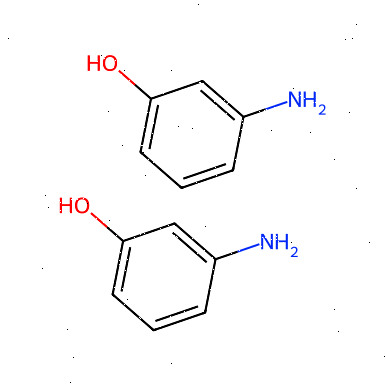 Nc1cccc(O)c1.Nc1cccc(O)c1